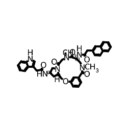 CN1C[C@@H](NC(=O)Cc2ccc3ccccc3c2)C(=O)N(C)CC(=O)N2C[C@@H](NC(=O)Cc3c[nH]c4ccccc34)C[C@H]2COc2cccc(c2)C1=O